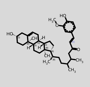 COc1cc(/C=C/C(=O)CC(C)C(C)CC[C@@H](C)[C@H]2CC[C@H]3[C@@H]4CC=C5C[C@@H](O)CC[C@]5(C)[C@H]4CC[C@]23C)ccc1O